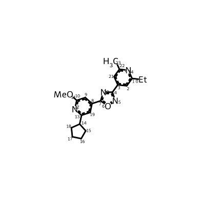 CCc1cc(-c2noc(-c3cc(OC)nc(C4CCCC4)c3)n2)cc(C)n1